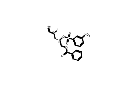 N=C[C@@H](F)C[C@@H](COC(=O)c1ccccc1)OS(=O)(=O)c1cccc([N+](=O)[O-])c1